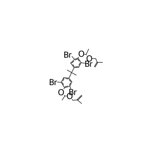 C=C(C)COC(C)Oc1c(Br)cc(C(C)(C)c2cc(Br)c(OC(C)OCC(=C)C)c(Br)c2)cc1Br